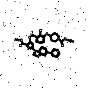 COC(=O)c1sc(-n2cnc3cc(-c4cccnc4)ccc32)cc1O[C@H](C)c1cccc(OC2CCN(C(=O)OC(C)(C)C)CC2)c1Cl